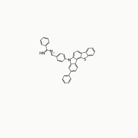 N=C(/N=C/c1ccc(-n2c3cc(-c4ccccc4)ccc3c3c4sc5ccccc5c4ccc32)cc1)c1ccccc1